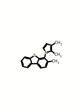 Cc1ccc2c(sc3ccccc32)c1-n1ccc(C)c1C